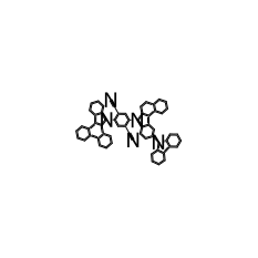 N#Cc1cc(-n2c3ccccc3c3c4ccccc4c4ccccc4c32)c(C#N)cc1-n1c2ccc(-n3c4ccccc4c4ccccc43)cc2c2c3ccccc3ccc21